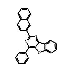 c1ccc(-c2nc(-c3ccc4ccccc4c3)nc3c2oc2ccccc23)cc1